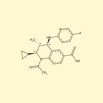 CC(=O)N1c2ccc(C(=O)O)cc2[C@H](Nc2ccc(F)cn2)[C@@H](C)[C@@H]1C1CC1